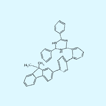 CC1(C)c2ccccc2-c2ccc(-c3ccc(-c4ccccc4C4N=C(c5ccccc5)NC(c5ccccc5)N4)cc3)cc21